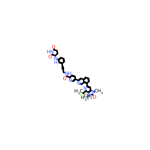 Cn1c(=O)n(C)c2c(C(C)(C)F)nc(-c3cccc4cc(-c5ccc(C(=O)NCC#Cc6cccc(NC7CCC(=O)NC7=O)c6)nc5)ncc34)cc21